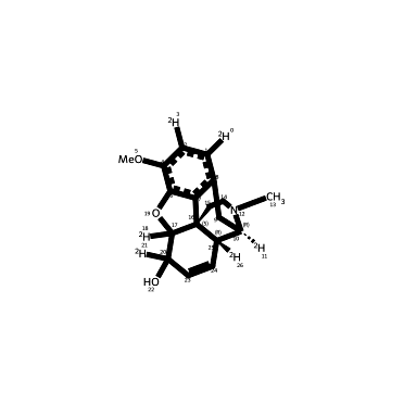 [2H]c1c([2H])c(OC)c2c3c1C[C@@]1([2H])N(C)CC[C@@]34C([2H])(O2)C([2H])(O)C=C[C@@]14[2H]